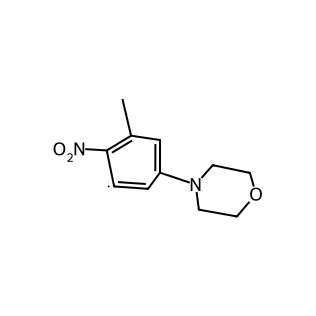 Cc1cc(N2CCOCC2)c[c]c1[N+](=O)[O-]